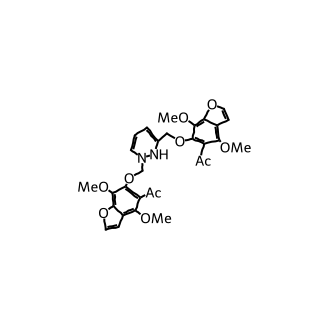 COc1c(C(C)=O)c(OCC2=CC=CN(COc3c(C(C)=O)c(OC)c4ccoc4c3OC)N2)c(OC)c2occc12